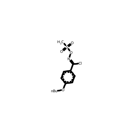 CCCCOc1ccc(/C(Cl)=N/OS(C)(=O)=O)cc1